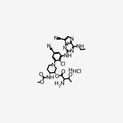 CCNc1nc(Nc2cc(C#N)cc(N3CC[C@@H](NC(=O)OC)[C@H](OC(=O)C(N)C(C)O)C3)c2Cl)nn2c(C#N)cnc12.Cl